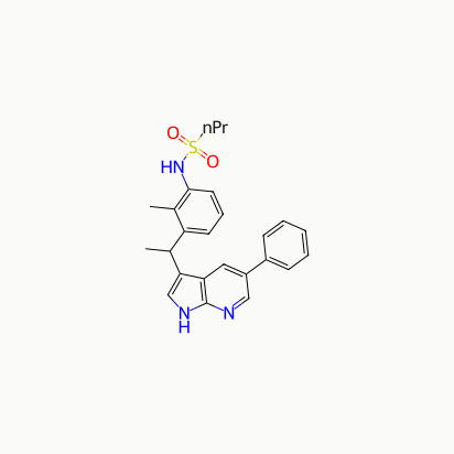 CCCS(=O)(=O)Nc1cccc(C(C)c2c[nH]c3ncc(-c4ccccc4)cc23)c1C